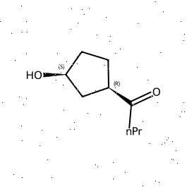 CCCC(=O)[C@@H]1CC[C@H](O)C1